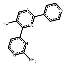 Nc1nccc(-c2nc(-c3ccncc3)ncc2O)n1